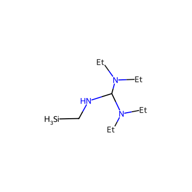 CCN(CC)C(NC[SiH3])N(CC)CC